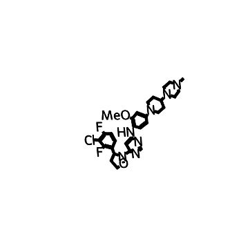 COc1cc(N2CCC(N3CCN(C)CC3)CC2)ccc1Nc1cc(N2OCCC2c2ccc(F)c(Cl)c2F)ncn1